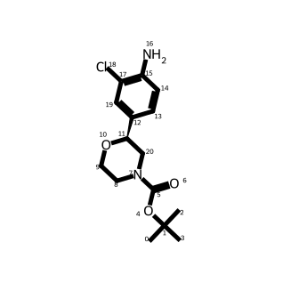 CC(C)(C)OC(=O)N1CCO[C@@H](c2ccc(N)c(Cl)c2)C1